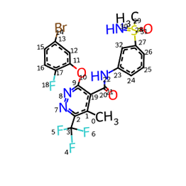 Cc1c(C(F)(F)F)nnc(Oc2cc(Br)ccc2F)c1C(=O)Nc1cccc(S(C)(=N)=O)c1